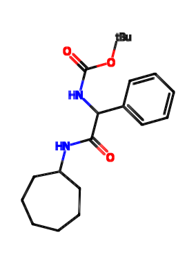 CC(C)(C)OC(=O)NC(C(=O)NC1CCCCCC1)c1ccccc1